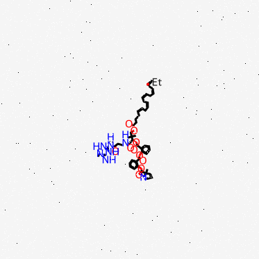 CC/C=C\C/C=C\C/C=C\C/C=C\C/C=C\CCCC(=O)OCC(C)(C)[C@@H](OC(=O)c1ccccc1OC(=O)c1ccccc1OC(=O)C1(C)C=CC=N1)C(=O)NCCC(=O)NC(=N)NC(=N)N(C)C